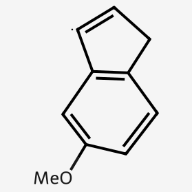 COc1ccc2c(c1)[C]=CC2